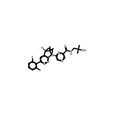 CC(C)(O)CNC(=O)c1cncc([C@@]23CC[C@@H](c4cc(-c5c(F)cccc5F)nnc42)C3(C)C)n1